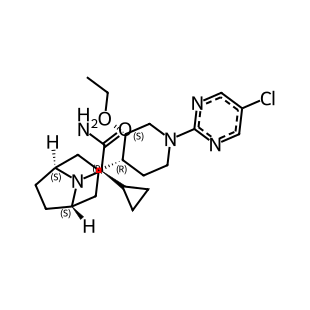 CCO[C@@H]1CN(c2ncc(Cl)cn2)CC[C@@H]1C1C[C@@H]2CC[C@@H](C1)N2[C@@H](C(N)=O)C1CC1